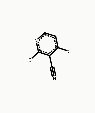 Cc1nccc(Cl)c1C#N